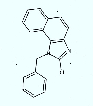 Clc1nc2ccc3ccccc3c2n1Cc1ccccc1